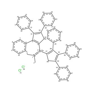 C[Si](C)=[Zr+2]([C]1=C(c2ccccc2)C(c2ccccc2)=C(c2ccccc2)C1)[C]1=C(c2ccccc2)C(c2ccccc2)=C(c2ccccc2)C1.[Cl-].[Cl-]